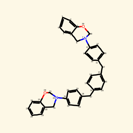 c1ccc2c(c1)CN(c1ccc(Cc3ccc(Cc4ccc(N5COc6ccccc6C5)cc4)cc3)cc1)CO2